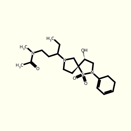 CCC(CCN(C)C(C)=O)N1CC[C@@]2(C1)[C@H](O)CN(C1=CC=CCC1)S2(=O)=O